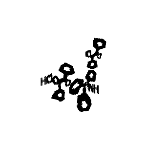 Cl.N=P(c1ccccc1)(c1ccccc1)c1ccccc1.O=C(C(=O)c1ccccc1)c1ccccc1.O=C(C(=O)c1ccccc1)c1ccccc1